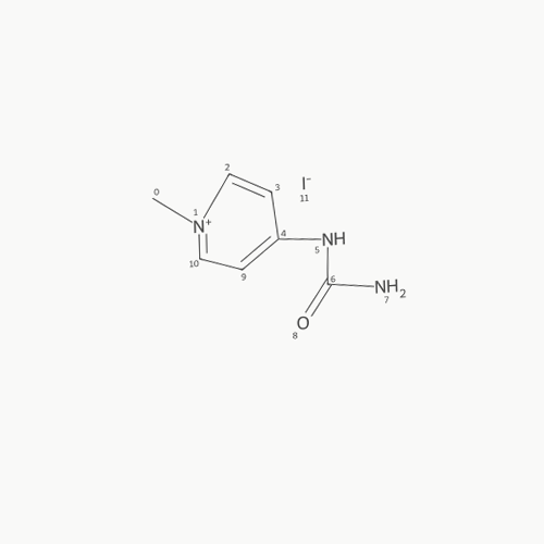 C[n+]1ccc(NC(N)=O)cc1.[I-]